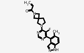 C=CC(=O)N1CC2(CCN(c3ncnc(-c4c(C)ccc5[nH]ncc45)c3F)C2)C1